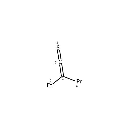 CCC(=C=S)C(C)C